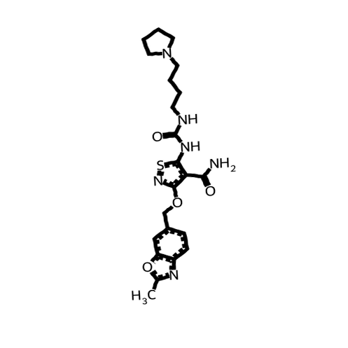 Cc1nc2ccc(COc3nsc(NC(=O)NCCCCN4CCCC4)c3C(N)=O)cc2o1